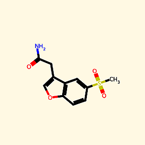 CS(=O)(=O)c1ccc2occ(CC(N)=O)c2c1